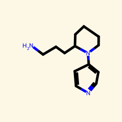 NCCCC1CCCCN1c1ccncc1